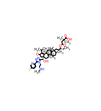 CC[C@H](CC[C@@]1(C)[C@H](C)CC[C@]2(C)[C@@H]1CC[C@@H]1C3=C(C(C)C)C(=O)C[C@]3(C(O)c3nnc(-c4ccc(F)cn4)n3CCNC)CC[C@]12C)OC(=O)CC(C)(C)C(=O)O